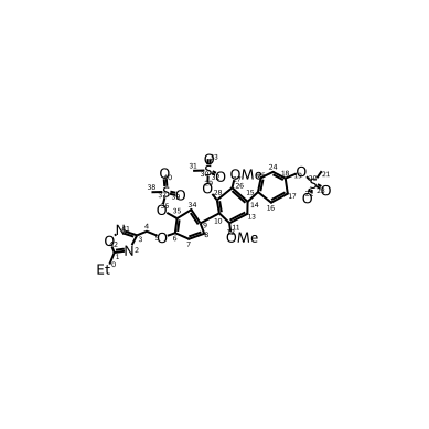 CCc1nc(COc2ccc(-c3c(OC)cc(-c4ccc(OS(C)(=O)=O)cc4)c(OC)c3OS(C)(=O)=O)cc2OS(C)(=O)=O)no1